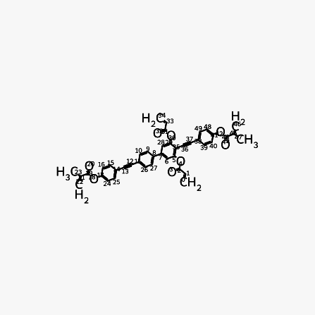 C=CC(=O)Oc1cc(-c2ccc(C#Cc3ccc(OC(=O)C(=C)C)cc3)cc2)cc(OC(=O)C=C)c1C#Cc1ccc(OC(=O)C(=C)C)cc1